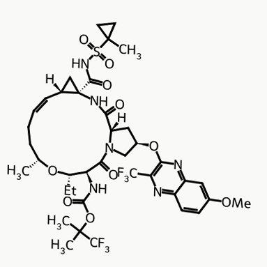 CC[C@@H]1O[C@H](C)CC/C=C\[C@@H]2C[C@@]2(C(=O)NS(=O)(=O)C2(C)CC2)NC(=O)[C@@H]2C[C@@H](Oc3nc4cc(OC)ccc4nc3C(F)(F)F)CN2C(=O)[C@H]1NC(=O)OC(C)(C)C(F)(F)F